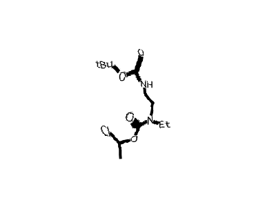 CCN(CCNC(=O)OC(C)(C)C)C(=O)OC(C)Cl